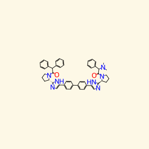 CN(C)[C@@H](C(=O)N1CCC[C@H]1c1ncc(-c2ccc(-c3ccc(-c4cnc([C@@H]5CCCN5C(=O)C(c5ccccc5)c5ccccc5)[nH]4)cc3)cc2)[nH]1)c1ccccc1